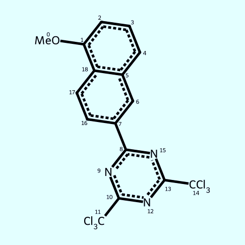 COc1cccc2cc(-c3nc(C(Cl)(Cl)Cl)nc(C(Cl)(Cl)Cl)n3)ccc12